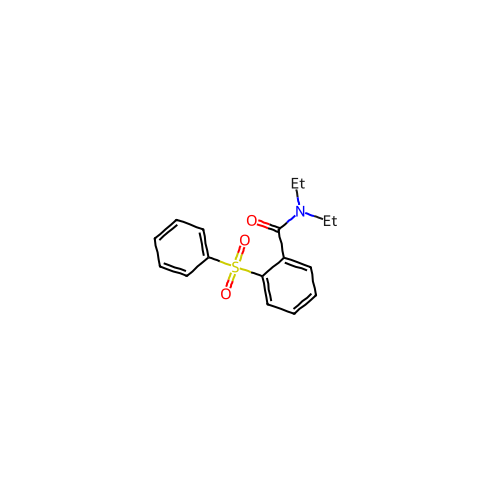 CCN(CC)C(=O)c1ccccc1S(=O)(=O)c1ccccc1